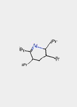 CC(C)C1=NC(C(C)C)C(C(C)C)CC1C(C)C